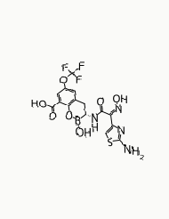 Nc1nc(/C(=N/O)C(=O)N[C@H]2Cc3cc(OC(F)(F)F)cc(C(=O)O)c3OB2O)cs1